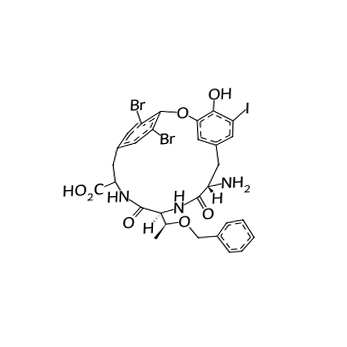 C[C@H](OCc1ccccc1)[C@@H]1NC(=O)[C@@H](N)Cc2cc(I)c(O)c(c2)Oc2c(Br)cc(cc2Br)CC(C(=O)O)NC1=O